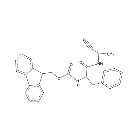 CC(C#N)NC(=O)C(Cc1ccccc1)NC(=O)OCC1c2ccccc2-c2ccccc21